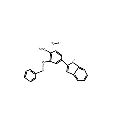 CCO.COc1ccc(-c2cc3ccccc3[nH]2)cc1OCc1ccccc1